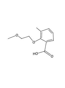 COCCOc1c(C)cccc1C(=O)O